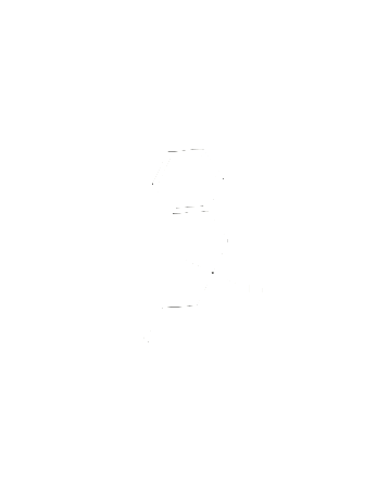 [CH2]C(C)(C)C(CCC)(CCN)Cc1ccccc1